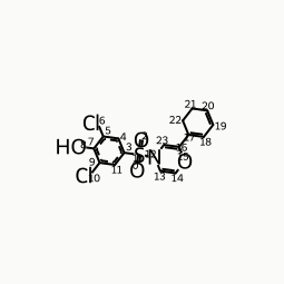 O=S(=O)(c1cc(Cl)c(O)c(Cl)c1)N1C=COC(C2=CC=CCC2)=C1